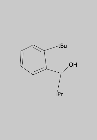 CC(C)C(O)c1ccccc1C(C)(C)C